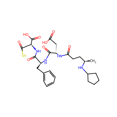 C[C@H](CCC(=O)N[C@@H](CC(=O)O)C(=O)N[C@@H](Cc1ccccc1)C(=O)N[C@H](C(=O)O)C(=O)S)NC1CCCC1